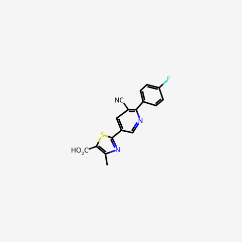 Cc1nc(-c2cnc(-c3ccc(F)cc3)c(C#N)c2)sc1C(=O)O